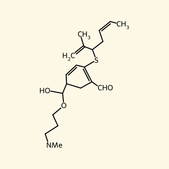 C=C(C)C(C/C=C\C)SC1=C(C=O)CC(C(O)OCCCNC)C=C1